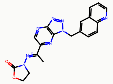 C/C(=N\N1CCOC1=O)c1cnc2nnn(Cc3ccc4ncccc4c3)c2n1